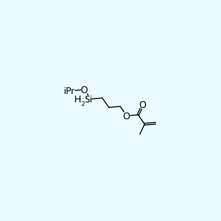 C=C(C)C(=O)OCCC[SiH2]OC(C)C